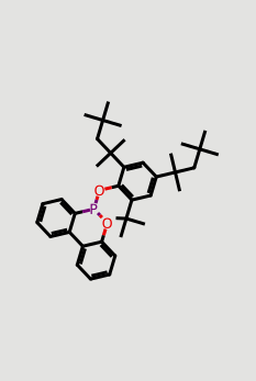 CC(C)(C)CC(C)(C)c1cc(C(C)(C)C)c(OP2Oc3ccccc3-c3ccccc32)c(C(C)(C)CC(C)(C)C)c1